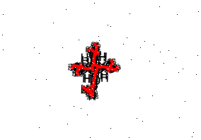 CN(C)c1ccc(C(c2ccc(OCCCC(=O)NCCNC(=O)CN3CCN(CC(=O)NCCNC(=O)c4cccc(OCc5ccccc5)c4OCc4ccccc4)CCN(CC(=O)NCCNC(=O)c4cccc(OCc5ccccc5)c4OCc4ccccc4)CCN(CC(=O)NCCNC(=O)c4cccc(OCc5ccccc5)c4OCc4ccccc4)CC3)cc2)c2ccc(N(C)C)cc2)cc1